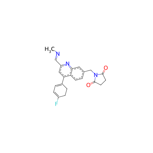 C/N=C/c1cc(C2=CC=C(F)CC2)c2ccc(CN3C(=O)CCC3=O)cc2n1